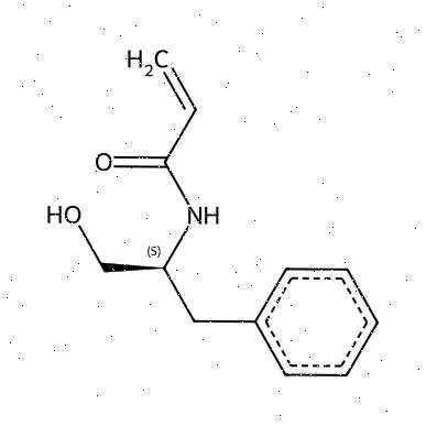 C=CC(=O)N[C@H](CO)Cc1ccccc1